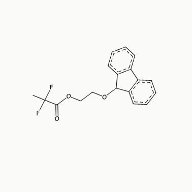 CC(F)(F)C(=O)OCCOC1c2ccccc2-c2ccccc21